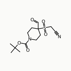 CC(C)(C)OC(=O)N1CCC(C=O)(S(=O)(=O)CC#N)CC1